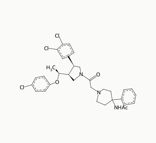 CC(=O)NC1(c2ccccc2)CCN(CC(=O)N2C[C@@H]([C@H](C)Oc3ccc(Cl)cc3)[C@@H](c3ccc(Cl)c(Cl)c3)C2)CC1